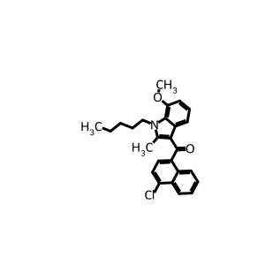 CCCCCn1c(C)c(C(=O)c2ccc(Cl)c3ccccc23)c2cccc(OC)c21